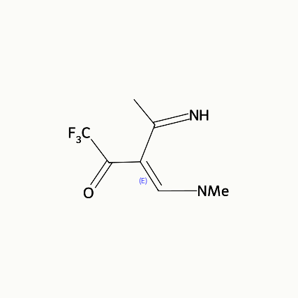 CN/C=C(\C(C)=N)C(=O)C(F)(F)F